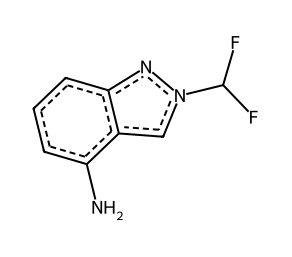 Nc1cccc2nn(C(F)F)cc12